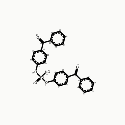 O=NP(=O)(Oc1ccc(C(=O)c2ccccc2)cc1)Oc1ccc(C(=O)c2ccccc2)cc1